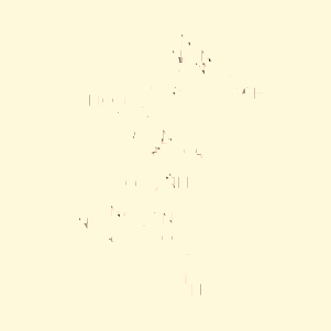 C#CCON=C(C(=O)NC1C(=O)N2CC(CSc3nnnn3CC=C)(C(=O)O)CS[C@H]12)c1csc(N)n1